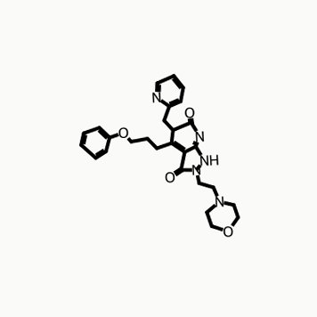 O=C1N=c2[nH]n(CCN3CCOCC3)c(=O)c2=C(CCCOc2ccccc2)C1Cc1ccccn1